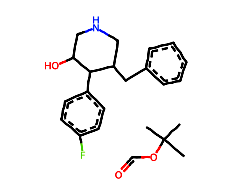 CC(C)(C)OC=O.OC1CNCC(Cc2ccccc2)C1c1ccc(F)cc1